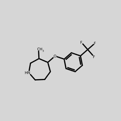 CC1CNCCCC1Oc1cccc(C(F)(F)F)c1